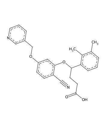 Cc1cccc(C(CCC(=O)O)Oc2cc(OCc3cccnc3)ccc2C#N)c1C